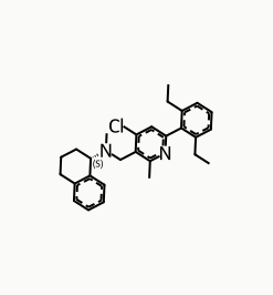 CCc1cccc(CC)c1-c1cc(Cl)c(CN(C)[C@H]2CCCc3ccccc32)c(C)n1